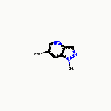 CNc1cnc2cnn(C)c2c1